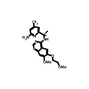 COCCOc1cc2c(N[C@H](C)c3cc(C(F)(F)F)cc(N)n3)ncnc2cc1OC